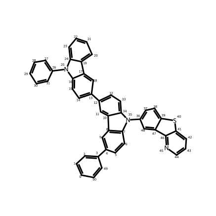 c1ccc(-c2ccc3c(c2)c2cc(-c4ccc5c(c4)c4ccccc4n5-c4ccccc4)ccc2n3-c2ccc3sc4cccnc4c3c2)cc1